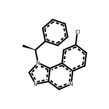 C[C@@H](c1ccccc1)n1cnc2cnc3ccc(Cl)cc3c21